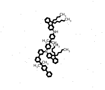 CCCCCCC1(CCCCC)c2ccccc2-c2ccc(Nc3ccc(C(C)(C)c4ccc(N(c5cccc(-c6cccc(C(C)(C)c7ccc(-c8ccccc8)cc7)c6)c5)c5ccc6c(c5)C(CCCCC)(CCCCC)c5ccccc5-6)cc4)cc3)cc21